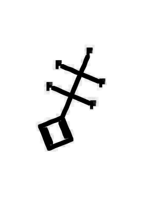 FC(F)(F)C(F)(F)C1=CC=C1